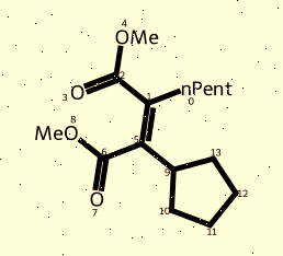 CCCCC/C(C(=O)OC)=C(/C(=O)OC)C1CCCC1